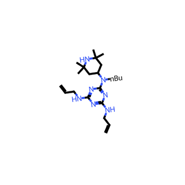 C=CCNc1nc(NCC=C)nc(N(CCCC)C2CC(C)(C)NC(C)(C)C2)n1